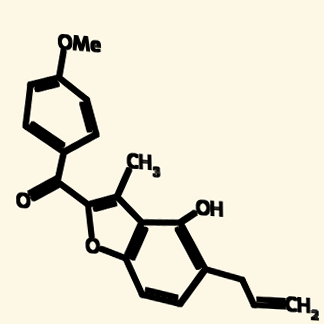 C=CCc1ccc2oc(C(=O)c3ccc(OC)cc3)c(C)c2c1O